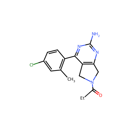 CCC(=O)N1Cc2nc(N)nc(-c3ccc(Cl)cc3C)c2C1